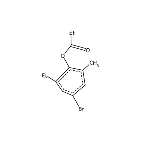 CCC(=O)Oc1c(C)cc(Br)cc1CC